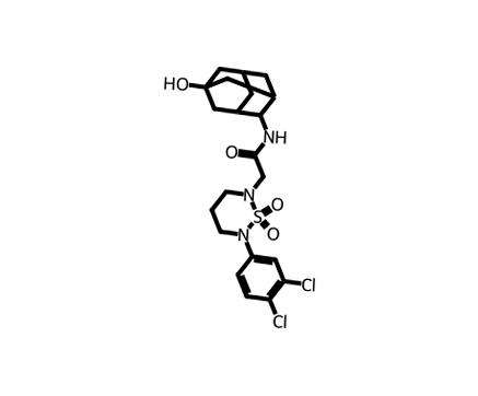 O=C(CN1CCCN(c2ccc(Cl)c(Cl)c2)S1(=O)=O)NC1C2CC3CC1CC(O)(C3)C2